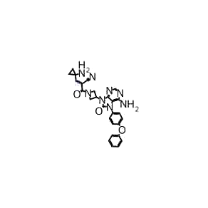 N#C/C(=C\C1(N)CC1)C(=O)N1CC(n2c(=O)n(-c3ccc(Oc4ccccc4)cc3)c3c(N)ncnc32)C1